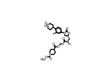 CC(=O)N(C[C@H]1CN(c2ccc(C3CCS(=O)(=O)CC3)c(F)c2)C(=O)O1)C(=O)OCOC(=O)C1CCN(C(=O)OC(C)(C)C)CC1